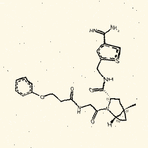 C[C@@]12C[C@@H]1N(C(=O)CNC(=O)CCOc1ccccc1)[C@H](C(=O)NCc1cc(C(=N)N)cs1)C2